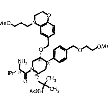 COCCCN1CCOc2ccc(CO[C@H]3CN(C(=O)[C@@H](N)C(C)C)[C@@H](CC(C)(C)NC(C)=O)C[C@@H]3c3ccc(COCCOC)cc3)cc21